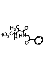 CC(NC(=O)O)C(=O)NCC(=O)c1ccccc1